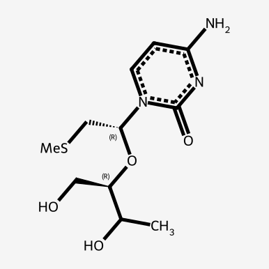 CSC[C@@H](O[C@H](CO)C(C)O)n1ccc(N)nc1=O